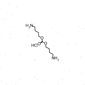 Cl.NCCCCOC(=O)OCCCCN